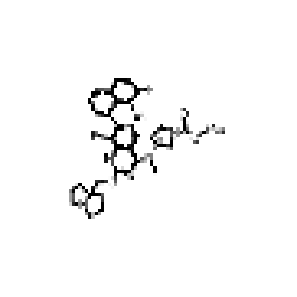 CCc1c(F)ccc2cccc(-c3ncc4c(N(C)[C@@H]5CCN(C(=O)OC(C)(C)C)C5)nc(OCC56CCCN5CCC6)nc4c3F)c12